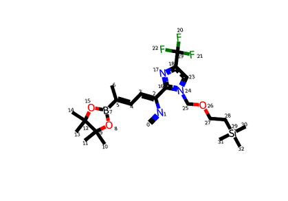 C=N/C(=C\C=C(/C)B1OC(C)(C)C(C)(C)O1)c1nc(C(F)(F)F)cn1COCC[Si](C)(C)C